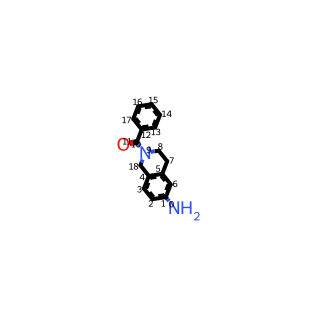 Nc1ccc2c(c1)CCN(C(=O)c1ccccc1)C2